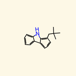 CC(C)(C)Cc1cccc2c1[nH]c1ccccc12